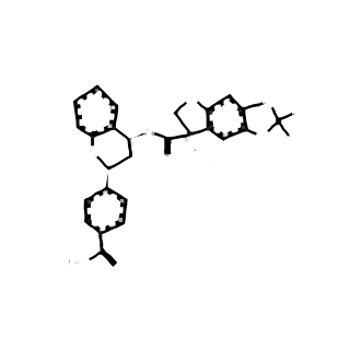 COC(=O)c1ccc([C@@H]2C[C@H](NC(=O)[C@@]3(C)COc4cc5c(cc43)OC(F)(F)O5)c3ccccc3N2)cc1